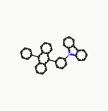 c1ccc(-c2c3ccccc3c(-c3cccc(-n4c5ccccc5c5ccccc54)c3)c3ccccc23)cc1